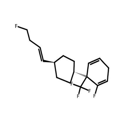 FCC/C=C/[C@H]1CC[C@H](C2(C(F)(F)F)C=CCC=C2F)CC1